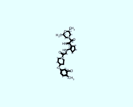 Cc1ccc(OC2CCN(C(=O)CNC3=C(C(=N)C(=O)N4C[C@@H](C)O[C@@H](C)C4)CCC3)CC2)cc1Cl